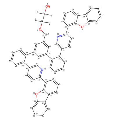 CC(C)(O)C(C)(C)OBc1cc(-c2ccccc2-c2ccc(-c3cccc4c3oc3ccccc34)nc2)cc(-c2ccccc2-c2ccc(-c3cccc4c3oc3ccccc34)nc2)c1